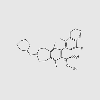 Cc1c(-c2c(C)c3c(c(C)c2[C@H](OC(C)(C)C)C(=O)O)CCN(CC2CCCCC2)CC3)cc(F)c2c1CCCO2